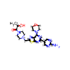 CC(O)C(=O)N1CCN(Cc2nc3c(N4CCOCC4)nc(-c4cnc(N)nc4)nc3s2)CC1